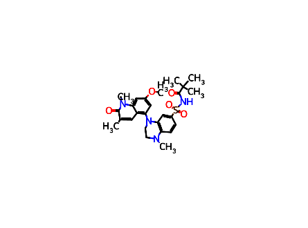 COc1cc(N2CCN(C)c3ccc(S(=O)(=O)NC(=O)C(C)(C)C)cc32)c2cc(C)c(=O)n(C)c2c1